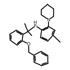 Cc1ccc(PC(C)(C)c2ccccc2OCc2ccccc2)c(N2CCCCC2)c1